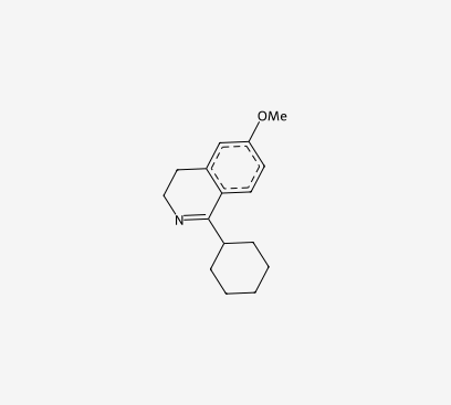 COc1ccc2c(c1)CCN=C2C1CCCCC1